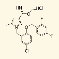 CCOC(=N)c1cc(C)n(Cc2cc(Cl)ccc2OCc2ccc(F)cc2F)n1.Cl